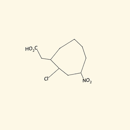 O=C(O)CC1CCCCC([N+](=O)[O-])CC1Cl